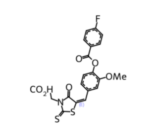 COc1cc(/C=C2/SC(=S)N(CC(=O)O)C2=O)ccc1OC(=O)c1ccc(F)cc1